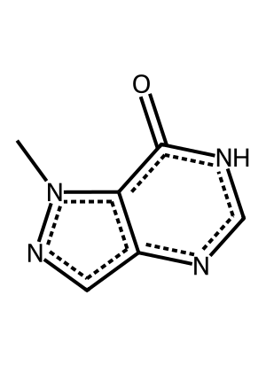 Cn1ncc2nc[nH]c(=O)c21